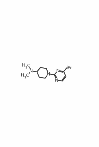 CC(C)c1ccnc(N2CCC(N(C)C)CC2)n1